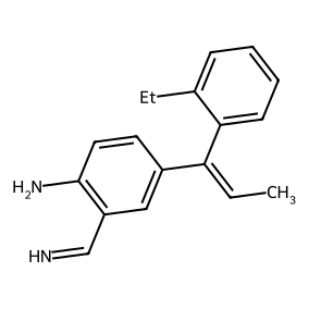 C/C=C(/c1ccc(N)c(C=N)c1)c1ccccc1CC